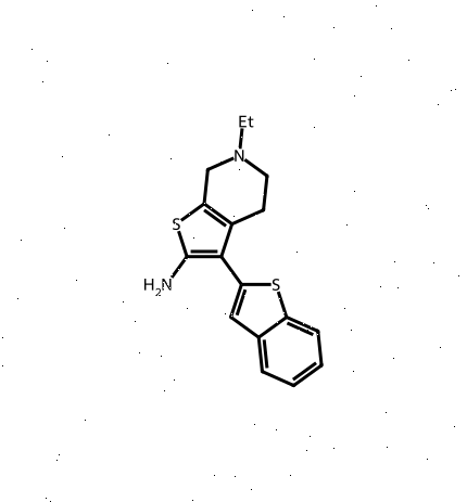 CCN1CCc2c(sc(N)c2-c2cc3ccccc3s2)C1